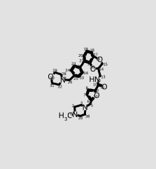 CN1CCN(Cc2ccc(C(=O)NCC3COc4cccc(-c5ccc(CN6CCOCC6)cc5)c4O3)o2)CC1